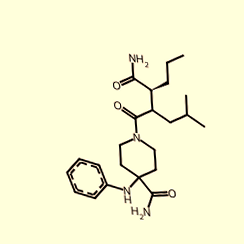 CCC[C@H](C(N)=O)C(CC(C)C)C(=O)N1CCC(Nc2ccccc2)(C(N)=O)CC1